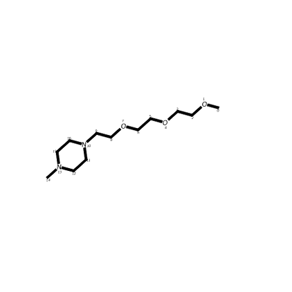 COCCOCCOCCN1CCN(C)CC1